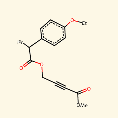 CCOc1ccc(C(C(=O)OCC#CC(=O)OC)C(C)C)cc1